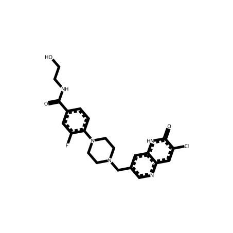 O=C(NCCO)c1ccc(N2CCN(Cc3cnc4cc(Cl)c(=O)[nH]c4c3)CC2)c(F)c1